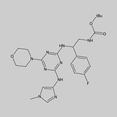 Cn1cnc(Nc2nc(NC(CNC(=O)OC(C)(C)C)c3ccc(F)cc3)nc(N3CCOCC3)n2)c1